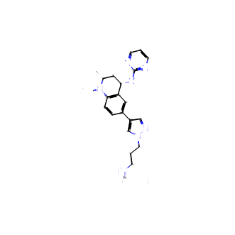 CC(=O)N1c2ccc(-c3cnn(CCCNC(=O)O)c3)cc2[C@H](Nc2ncccn2)C[C@@H]1C